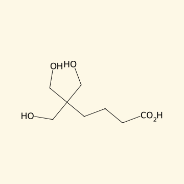 O=C(O)CCCC(CO)(CO)CO